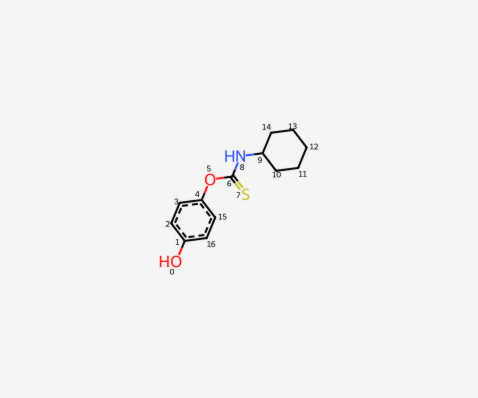 Oc1ccc(OC(=S)NC2CCCCC2)cc1